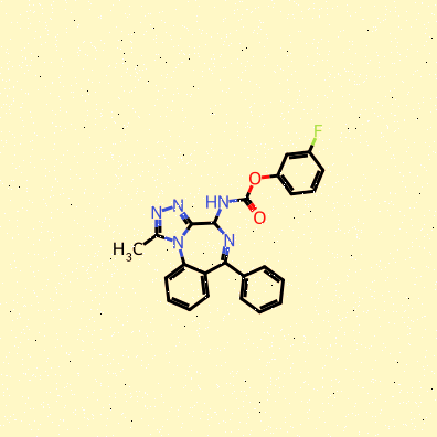 Cc1nnc2n1-c1ccccc1C(c1ccccc1)=NC2NC(=O)Oc1cccc(F)c1